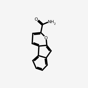 NC(=O)c1ccc2c3ccccc3cc-2o1